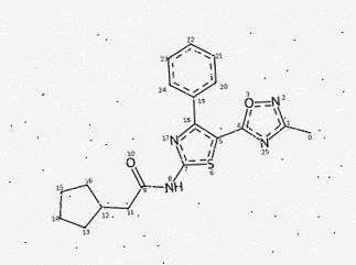 Cc1noc(-c2sc(NC(=O)CC3CCCC3)nc2-c2ccccc2)n1